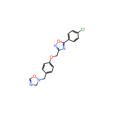 Clc1ccc(-c2nc(COc3ccc(CN4CN=CO4)cc3)no2)cc1